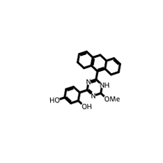 COC1N=C(C2C=CC(O)=CC2O)N=C(C2=C3CCC=CC3CC3=C2CCC=C3)N1